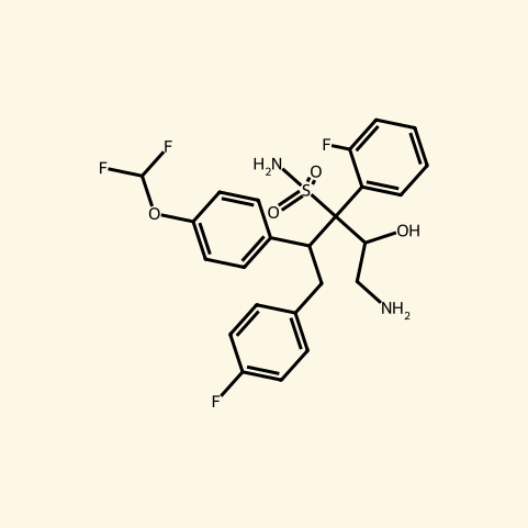 NCC(O)C(c1ccccc1F)(C(Cc1ccc(F)cc1)c1ccc(OC(F)F)cc1)S(N)(=O)=O